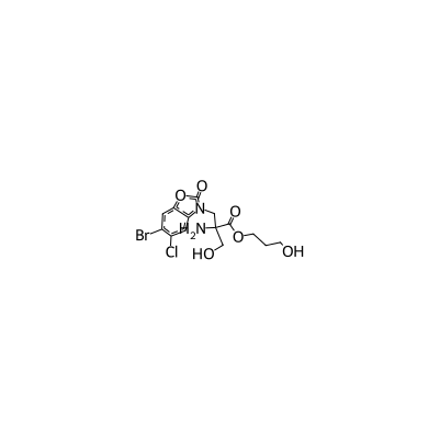 NC(CO)(Cn1c(=O)oc2cc(Br)c(Cl)cc21)C(=O)OCCCO